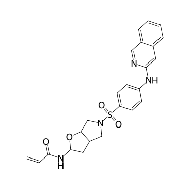 C=CC(=O)NC1CC2CN(S(=O)(=O)c3ccc(Nc4cc5ccccc5cn4)cc3)CC2O1